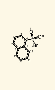 O=S(=O)(Br)c1cccc2ccccc12